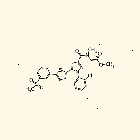 COC(=O)CN(C)C(=O)c1cc(-c2ccc(-c3cccc(S(C)(=O)=O)c3)s2)n(-c2ccccc2Cl)n1